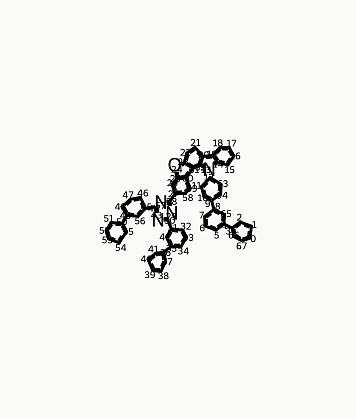 c1ccc(-c2cccc(-c3ccc(-n4c5ccccc5c5ccc6oc7cc(-c8nc(-c9cccc(-c%10ccccc%10)c9)nc(-c9cccc(-c%10ccccc%10)c9)n8)ccc7c6c54)cc3)c2)cc1